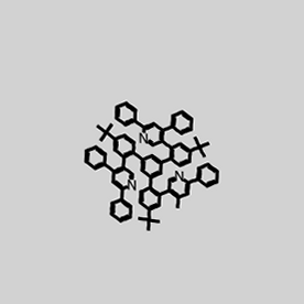 Cc1cc(-c2ccccc2)ncc1-c1cc(C(C)(C)C)ccc1-c1cc(-c2ccc(C(C)(C)C)cc2-c2cnc(-c3ccccc3)cc2-c2ccccc2)cc(-c2ccc(C(C)(C)C)cc2-c2cnc(-c3ccccc3)cc2-c2ccccc2)c1